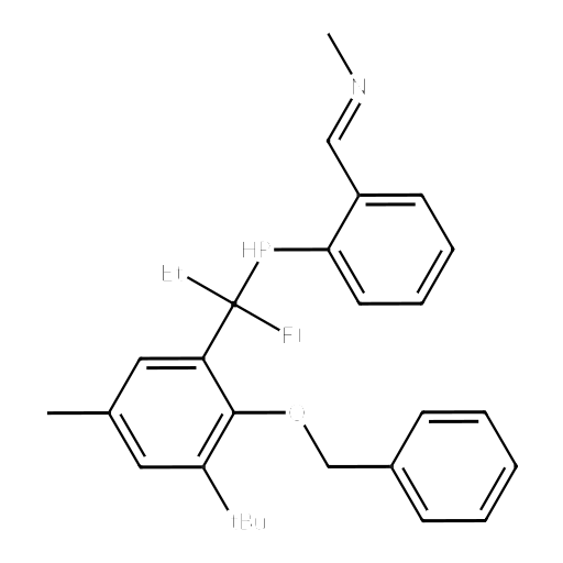 CCC(CC)(Pc1ccccc1/C=N/C)c1cc(C)cc(C(C)(C)C)c1OCc1ccccc1